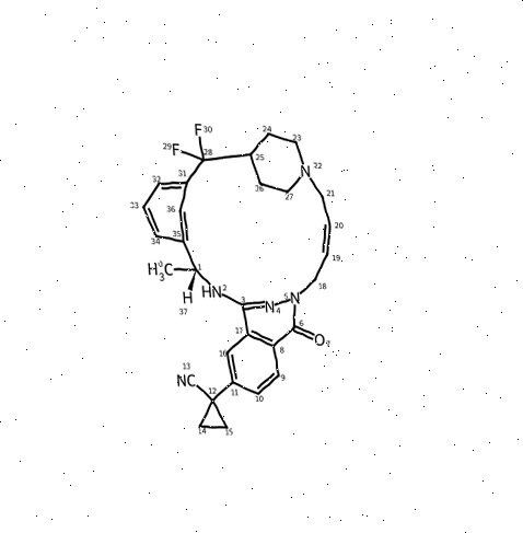 C[C@H]1Nc2nn(c(=O)c3ccc(C4(C#N)CC4)cc23)C/C=C\CN2CCC(CC2)C(F)(F)c2cccc1c2